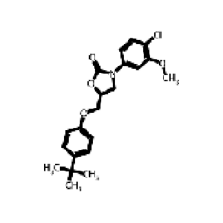 COc1cc(N2CC(COc3ccc(C(C)(C)C)cc3)OC2=O)ccc1Cl